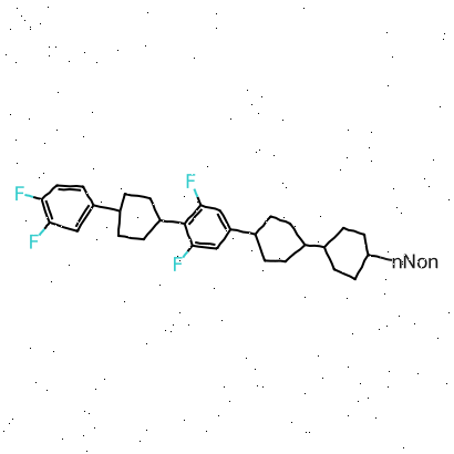 CCCCCCCCCC1CCC(C2CCC(c3cc(F)c(C4CCC(c5ccc(F)c(F)c5)CC4)c(F)c3)CC2)CC1